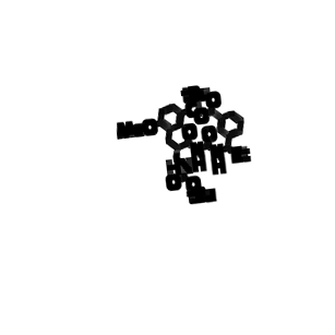 CC[C@@H](NC(=O)NC(=O)[C@@H](CNC(=O)OC(C)(C)C)Cc1cc(Cl)ccc1OC)c1cccc(C(=O)OC(C)(C)C)c1